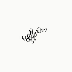 CC(C)(C)OC(=O)N1CCC[C@@H]1C(=O)N1CCCN(C2CCC2)CC1